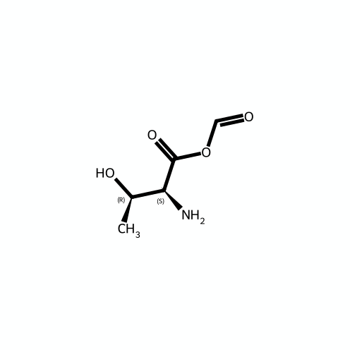 C[C@@H](O)[C@H](N)C(=O)OC=O